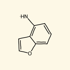 [NH]c1cccc2occc12